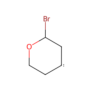 BrC1C[C]CCO1